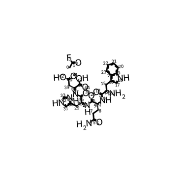 CC(=O)F.NC(=O)CC[C@H](NC(=O)[C@@H](N)Cc1c[nH]c2ccccc12)C(=O)N[C@@H](Cc1c[nH]cn1)C(=O)N[C@@H](CC(=O)O)C(=O)O